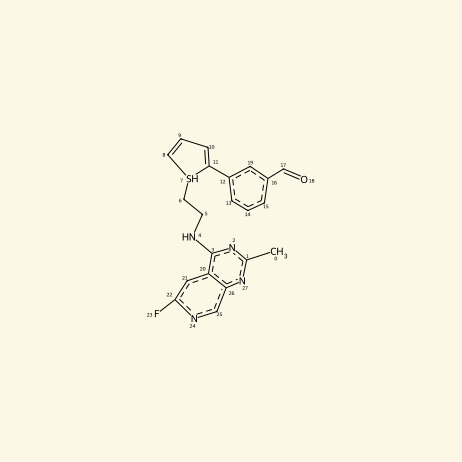 Cc1nc(NCC[SH]2C=CC=C2c2cccc(C=O)c2)c2cc(F)ncc2n1